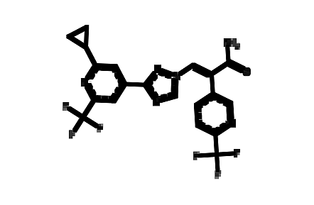 NC(=O)/C(=C/n1cnc(-c2cc(C3CC3)nc(C(F)(F)F)c2)n1)c1ccc(C(F)(F)F)nc1